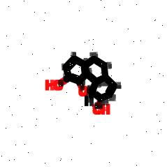 Oc1ccc2c3c1O[C@H]1C3C(C=C[C@H]1O)CC2